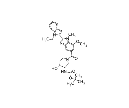 CCn1c(-c2nc3cc(C(=O)N4CC[C@@H](O)[C@@H](NC(=O)OC(C)(C)C)C4)cc(OC)c3n2C)cc2ccccc21